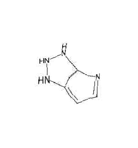 C1=NC2NNNC2=C1